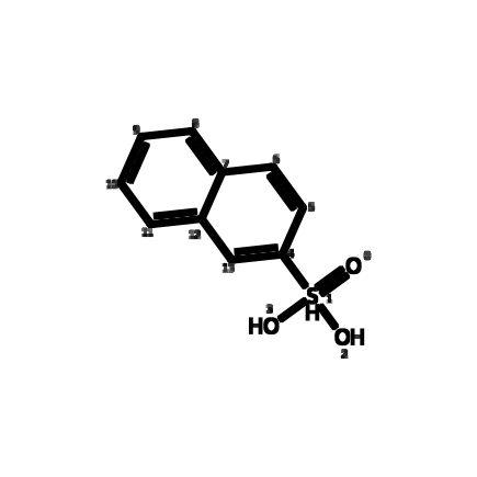 O=[SH](O)(O)c1ccc2ccccc2c1